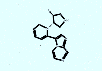 F[C@H]1CNC[C@@H]1N1CC=CC=C1c1cnc2cnccn12